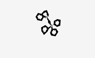 C(#C[B-](c1ccccc1)(c1ccccc1)c1ccccc1)[n+]1cccc2ccccc21